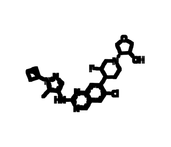 Cc1c(Nc2ncc3cc(Cl)c(C4CCN([C@@H]5COCC5O)CC4F)cc3n2)cnn1C12CC(C1)C2